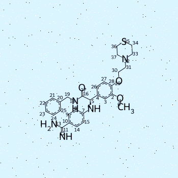 COc1cc([C@@H](Nc2ccc(C(=N)N)cc2)C(=O)NCc2ccccc2)ccc1OCCN1CCSCC1